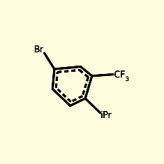 CC(C)c1ccc(Br)cc1C(F)(F)F